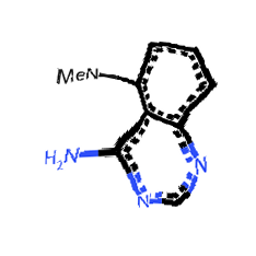 CNc1cccc2ncnc(N)c12